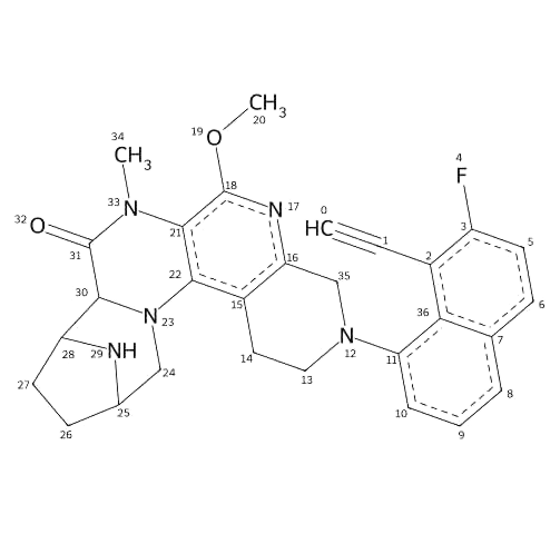 C#Cc1c(F)ccc2cccc(N3CCc4c(nc(OC)c5c4N4CC6CCC(N6)C4C(=O)N5C)C3)c12